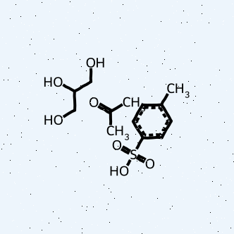 CC(C)=O.Cc1ccc(S(=O)(=O)O)cc1.OCC(O)CO